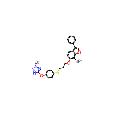 CCCc1c(OCCCSc2ccc(Oc3nnn(CC)n3)cc2)ccc2c(-c3ccccc3)coc12